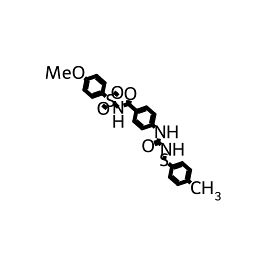 COc1ccc(S(=O)(=O)NC(=O)c2ccc(NC(=O)NSc3ccc(C)cc3)cc2)cc1